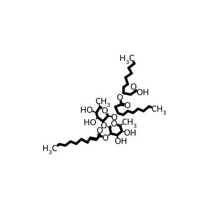 CCCCCCC/C=C/C(=O)O[C@H]1[C@H](O[C@H]2[C@H](OC(CCCCCCC)CC(=O)OC(CCCCCCC)CC(=O)O)O[C@@H](C)[C@H](O)[C@H]2O)O[C@@H](C)[C@H](O)[C@H]1O